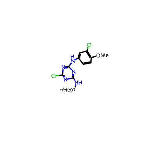 CCCCCCCNc1nc(Cl)nc(Nc2ccc(OC)c(Cl)c2)n1